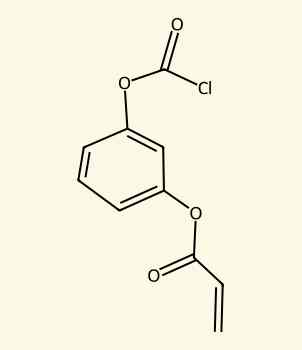 C=CC(=O)Oc1cccc(OC(=O)Cl)c1